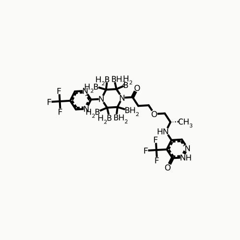 BC1(B)N(C(=O)CCOC[C@H](C)Nc2cn[nH]c(=O)c2C(F)(F)F)C(B)(B)C(B)(B)N(c2ncc(C(F)(F)F)cn2)C1(B)B